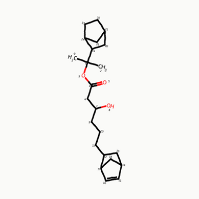 CC(C)(OC(=O)CC(O)CCCC1CC2C=CC1C2)C1CC2CCC1C2